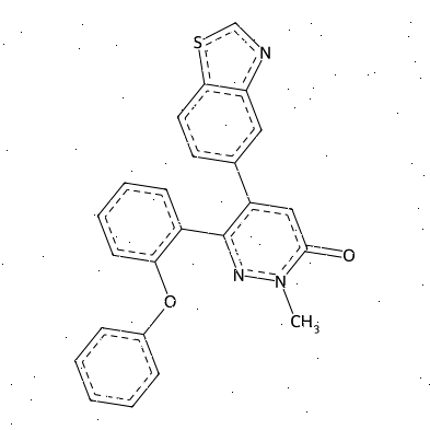 Cn1nc(-c2ccccc2Oc2ccccc2)c(-c2ccc3scnc3c2)cc1=O